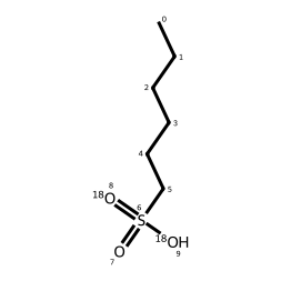 CCCCCCS(=O)(=[18O])[18OH]